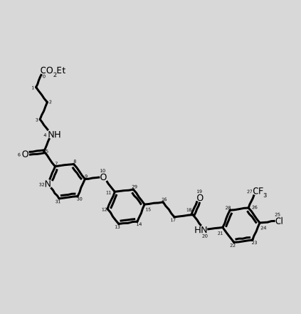 CCOC(=O)CCCNC(=O)c1cc(Oc2cccc(CCC(=O)Nc3ccc(Cl)c(C(F)(F)F)c3)c2)ccn1